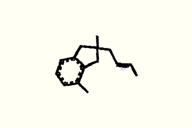 C/C=C/CC1(C)Cc2cccc(C)c2C1